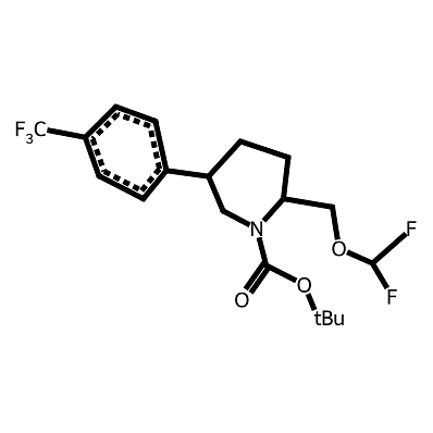 CC(C)(C)OC(=O)N1CC(c2ccc(C(F)(F)F)cc2)CCC1COC(F)F